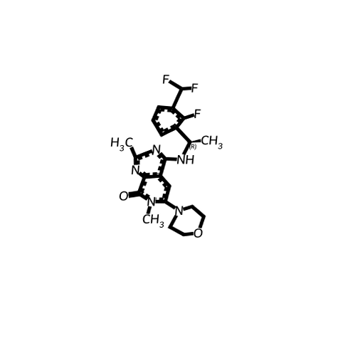 Cc1nc(N[C@H](C)c2cccc(C(F)F)c2F)c2cc(N3CCOCC3)n(C)c(=O)c2n1